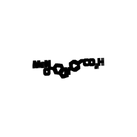 CNC(=O)c1ccc2c(ccn2-c2ccc(CC(=O)O)cc2)c1